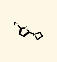 CCc1ccc(N2CCC2)s1